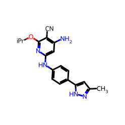 Cc1cc(-c2ccc(Nc3cc(N)c(C#N)c(OC(C)C)n3)cc2)[nH]n1